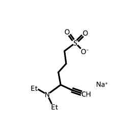 C#CC(CCCS(=O)(=O)[O-])N(CC)CC.[Na+]